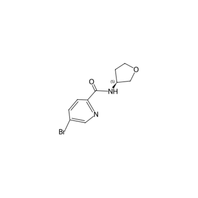 O=C(N[C@H]1CCOC1)c1ccc(Br)cn1